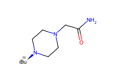 CC[C@H](C)N1CCN(CC(N)=O)CC1